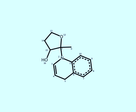 CC1(N2C=CCc3ccccc32)OCCC1O